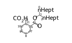 CCCCCCCC(CCCCCCC)OC(=O)c1ccccc1C(=O)O